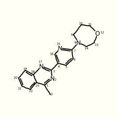 Cc1nc(-c2ccc(N3CCCOCC3)nc2)nc2ccccc12